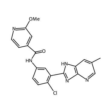 COc1cc(C(=O)Nc2ccc(Cl)c(-c3nc4ncc(C)cc4[nH]3)c2)ccn1